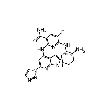 NC(=O)c1cc(F)c(N[C@@H]2CCCC[C@@H]2N)nc1Nc1cc(-n2ccnn2)nc2[nH]ccc12